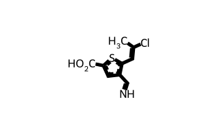 C/C(Cl)=C\c1sc(C(=O)O)cc1C=N